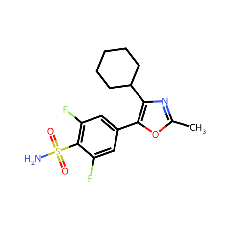 Cc1nc(C2CCCCC2)c(-c2cc(F)c(S(N)(=O)=O)c(F)c2)o1